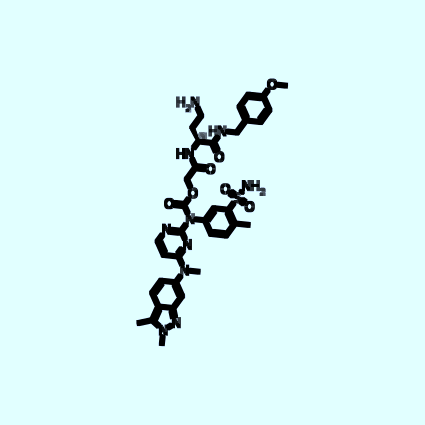 COc1ccc(CNC(=O)[C@H](CCN)NC(=O)COC(=O)N(c2ccc(C)c(S(N)(=O)=O)c2)c2nccc(N(C)c3ccc4c(C)n(C)nc4c3)n2)cc1